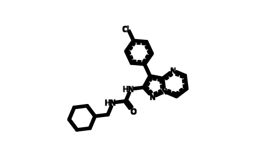 O=C(NCC1CCCCC1)Nc1nn2cccnc2c1-c1ccc(Cl)cc1